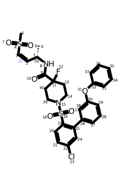 C[C@@H](/C=C\S(C)(=O)=O)NC(=O)C1(F)CCN(S(=O)(=O)c2ccc(Cl)cc2-c2cccc(Oc3ccccc3)c2)CC1